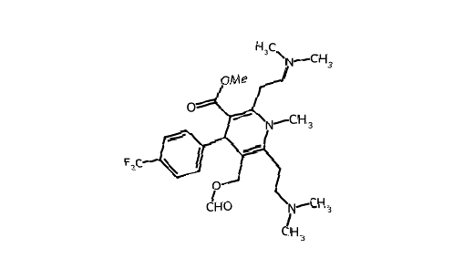 COC(=O)C1=C(CCN(C)C)N(C)C(CCN(C)C)=C(COC=O)C1c1ccc(C(F)(F)F)cc1